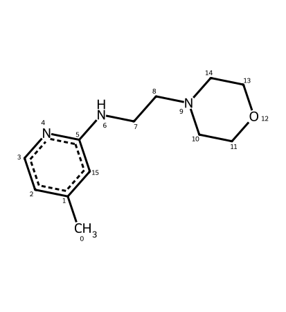 Cc1ccnc(NCCN2CCOCC2)c1